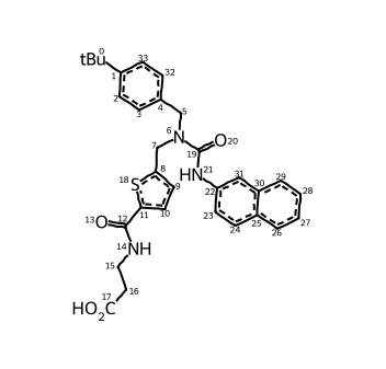 CC(C)(C)c1ccc(CN(Cc2ccc(C(=O)NCCC(=O)O)s2)C(=O)Nc2ccc3ccccc3c2)cc1